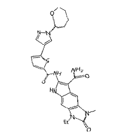 CCn1c(=O)n(C)c2cc3c(C(N)=O)c(NC(=O)c4ccc(-c5cnn(C6CCCCO6)c5)s4)[nH]c3cc21